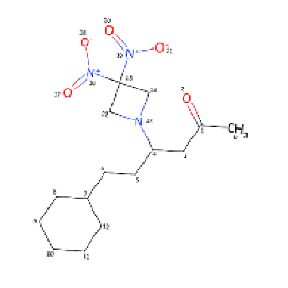 CC(=O)CC(CCC1CCCCC1)N1CC([N+](=O)[O-])([N+](=O)[O-])C1